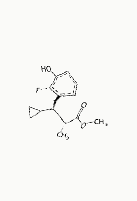 COC(=O)[C@H](C)[C@H](c1cccc(O)c1F)C1CC1